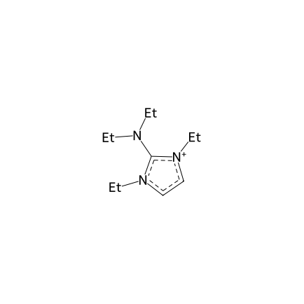 CCN(CC)c1n(CC)cc[n+]1CC